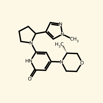 C[C@@H]1COCCN1c1cc(N2CCCC2c2cnn(C)c2)[nH]c(=O)c1